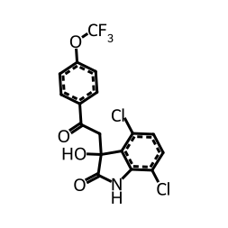 O=C(CC1(O)C(=O)Nc2c(Cl)ccc(Cl)c21)c1ccc(OC(F)(F)F)cc1